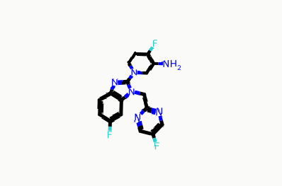 NC1CN(c2nc3ccc(F)cc3n2Cc2ncc(F)cn2)CCC1F